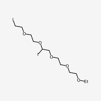 CCOCCOCCOCC(I)OCCOCCI